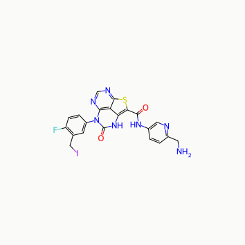 NCc1ccc(NC(=O)c2sc3ncnc4c3c2NC(=O)N4c2ccc(F)c(CI)c2)cn1